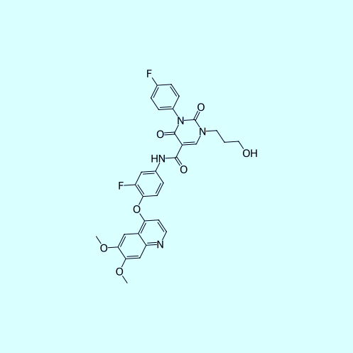 COc1cc2nccc(Oc3ccc(NC(=O)c4cn(CCCO)c(=O)n(-c5ccc(F)cc5)c4=O)cc3F)c2cc1OC